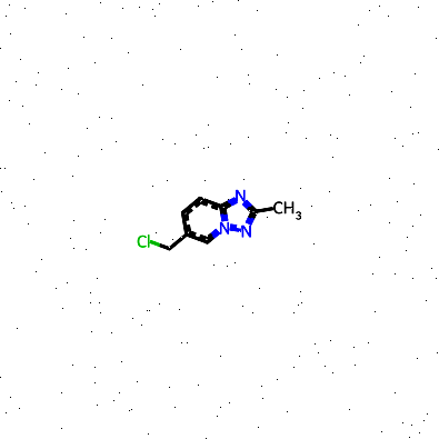 Cc1nc2ccc(CCl)cn2n1